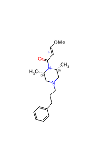 CO/C=C/C(=O)N1[C@H](C)CN(CCCc2ccccc2)C[C@@H]1C